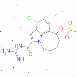 CS(=O)(=O)OC1CCCCn2c(C(=O)NC(=N)N)cc3c(Cl)ccc1c32